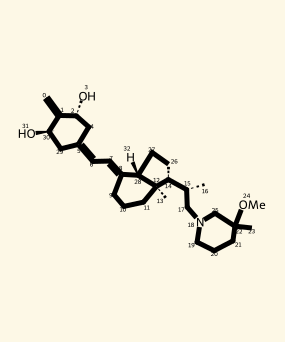 C=C1[C@H](O)CC(=C/C=C2\CCC[C@]3(C)[C@@H]([C@H](C)CN4CCCC(C)(OC)C4)CC[C@@H]23)C[C@H]1O